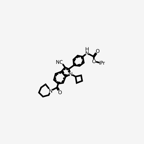 CC(C)OC(=O)Nc1ccc(-c2c(C#N)c3ccc(C(=O)N4CCCCC4)cc3n2C2CCC2)cc1